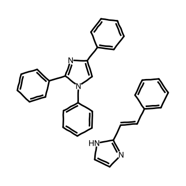 C(=C\c1ncc[nH]1)/c1ccccc1.c1ccc(-c2cn(-c3ccccc3)c(-c3ccccc3)n2)cc1